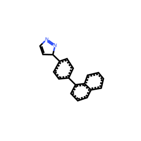 C1=CC(c2ccc(-c3cccc4ccccc34)cc2)N=N1